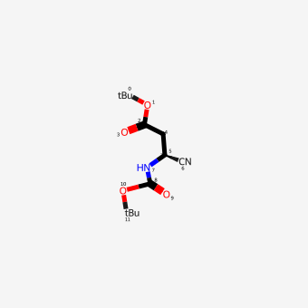 CC(C)(C)OC(=O)C[C@@H](C#N)NC(=O)OC(C)(C)C